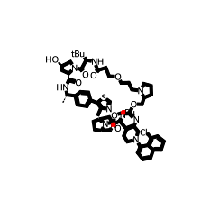 Cc1ncsc1-c1ccc([C@H](C)NC(=O)[C@@H]2C[C@@H](O)CN2C(=O)C(NC(=O)CCOCCCN2CCCC2COc2nc3c(c(N4CC5CCC(C4)N5C(=O)OC(C)(C)C)n2)CCN(c2cccc4cccc(Cl)c24)C3)C(C)(C)C)cc1